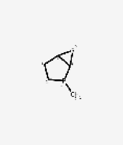 CP1CCC2SC21